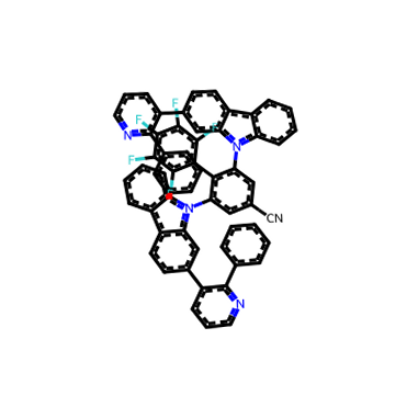 N#Cc1cc(-n2c3ccccc3c3ccc(-c4cccnc4-c4ccccc4)cc32)c(-c2c(F)c(F)c(F)c(F)c2F)c(-n2c3ccccc3c3ccc(-c4cccnc4-c4ccccc4)cc32)c1